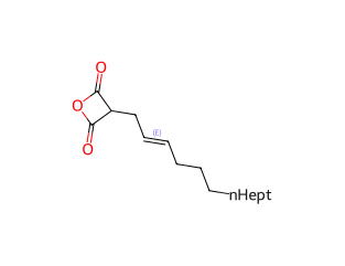 CCCCCCCCCC/C=C/CC1C(=O)OC1=O